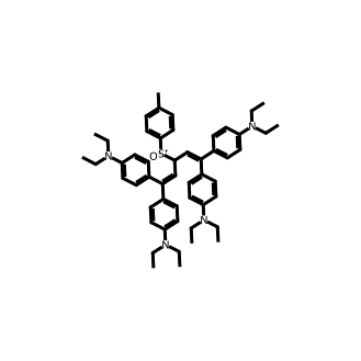 CCN(CC)c1ccc(C(=CC(C=C(c2ccc(N(CC)CC)cc2)c2ccc(N(CC)CC)cc2)[S+]([O-])c2ccc(C)cc2)c2ccc(N(CC)CC)cc2)cc1